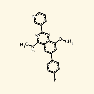 CNc1nc(-c2cccnc2)nc2c(OC)cc(-c3ccc(F)cc3)cc12